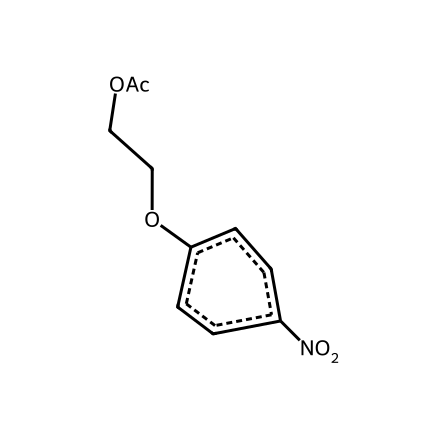 CC(=O)OCCOc1ccc([N+](=O)[O-])cc1